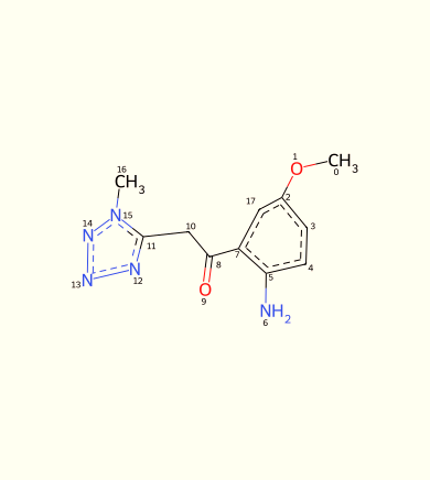 COc1ccc(N)c(C(=O)Cc2nnnn2C)c1